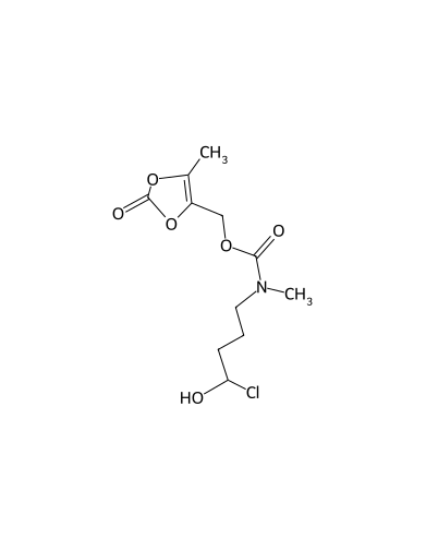 Cc1oc(=O)oc1COC(=O)N(C)CCCC(O)Cl